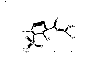 CC(C)c1ccc(C(=O)N=C(N)N)c(C#N)c1S(C)(=O)=O